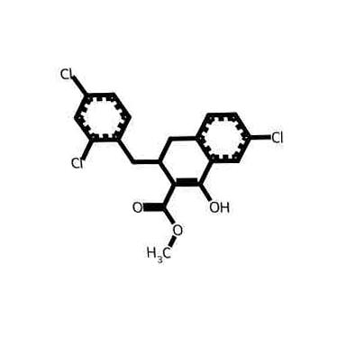 COC(=O)C1=C(O)c2cc(Cl)ccc2CC1Cc1ccc(Cl)cc1Cl